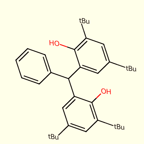 CC(C)(C)c1cc(C(c2ccccc2)c2cc(C(C)(C)C)cc(C(C)(C)C)c2O)c(O)c(C(C)(C)C)c1